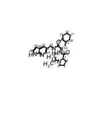 CC(C)N1CCCC1C(=O)N[C@@H](CC1CCCCC1)C(=O)NCc1cnc2[nH]ccc2c1